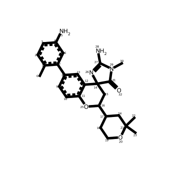 Cc1ccc(N)cc1-c1ccc2c(c1)C1(CC(C3CCOC(C)(C)C3)O2)N=C(N)N(C)C1=O